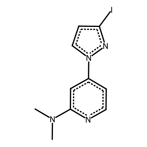 CN(C)c1cc(-n2ccc(I)n2)ccn1